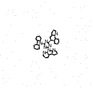 c1cnc2c(c1)cc(-c1nc(-n3c4ccccc4c4ccccc43)nc(-n3c4ncccc4c4cccnc43)n1)c1ccccc12